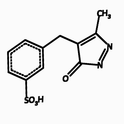 CC1=C(Cc2cccc(S(=O)(=O)O)c2)C(=O)N=N1